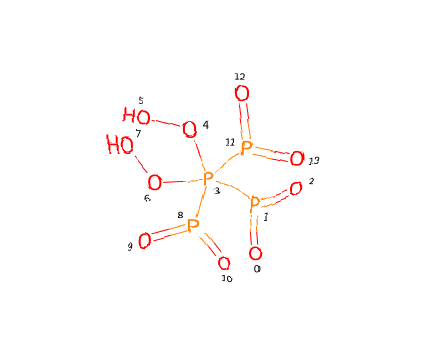 O=P(=O)P(OO)(OO)(P(=O)=O)P(=O)=O